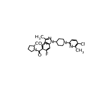 Cc1nc(N2CCC(n3nc(C)c4cc(C(=O)N5CCC[C@H]5C(=O)O)c(F)cc43)CC2)ccc1Cl